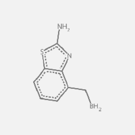 BCc1cccc2sc(N)nc12